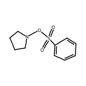 O=S(=O)(ON1CCCC1)c1ccccc1